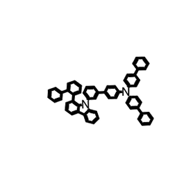 c1ccc(-c2ccc(N(c3ccc(-c4ccccc4)cc3)c3ccc(-c4cccc(-n5c6ccccc6c6cccc(-c7ccccc7-c7ccccc7)c65)c4)cc3)cc2)cc1